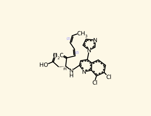 C=C(/C=C\C=C/C)[C@@H](CC(=O)O)Nc1cc(-n2ccnc2)c2ccc(Cl)c(Cl)c2n1